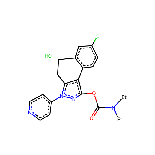 CCN(CC)C(=O)Oc1nn(-c2ccncc2)c2c1-c1ccc(Cl)cc1CC2.Cl